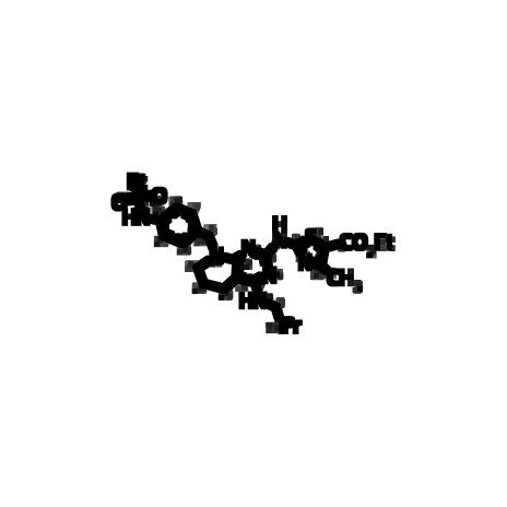 CCOC(=O)c1sc(Nc2nc(NCC(C)C)c3c(n2)N(Cc2ccc(NS(=O)(=O)CC)cc2)CCC3)nc1C